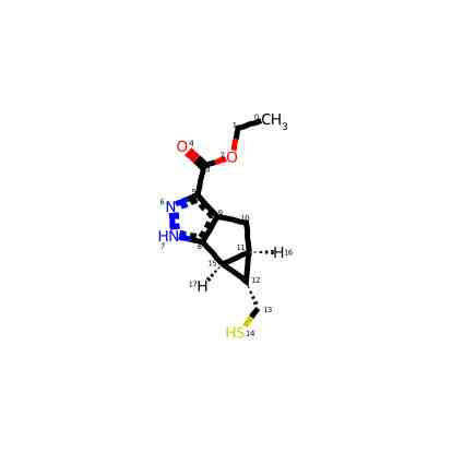 CCOC(=O)c1n[nH]c2c1C[C@H]1[C@H](CS)[C@@H]21